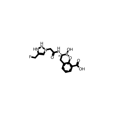 O=C(CN1C=C(CF)NN1)N[C@H]1Cc2cccc(C(=O)O)c2OB1O